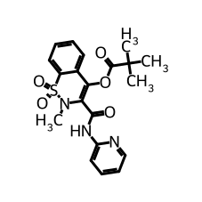 CN1C(C(=O)Nc2ccccn2)=C(OC(=O)C(C)(C)C)c2ccccc2S1(=O)=O